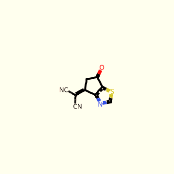 N#CC(C#N)=C1CC(=O)c2scnc21